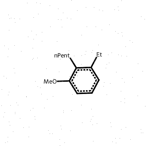 C[CH]CCCc1c(CC)cccc1OC